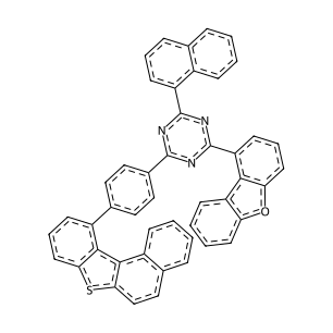 c1ccc2c(-c3nc(-c4ccc(-c5cccc6sc7ccc8ccccc8c7c56)cc4)nc(-c4cccc5oc6ccccc6c45)n3)cccc2c1